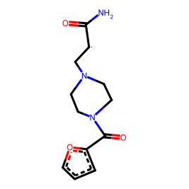 NC(=O)[CH]CN1CCN(C(=O)c2ccco2)CC1